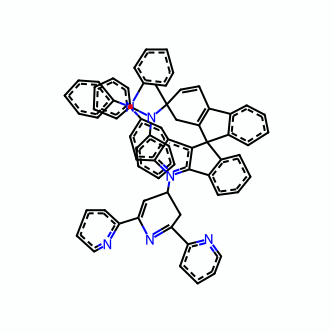 CC1(N(c2ccccc2)c2ccccc2)C=CC2=C(C1)C1(c3ccccc32)c2ccccc2-c2c1c1cc(N(c3ccccc3)c3ccccc3)ccc1n2C1C=C(c2ccccn2)N=C(c2ccccn2)C1